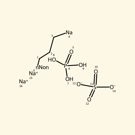 CCCCCCCCCCC[CH2][Na].O=P(O)(O)O.O=S(=O)([O-])[O-].[Na+].[Na+]